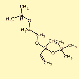 C=C[Si](C)(O[SiH2][SiH2]O[SiH](C)C)O[Si](C)(C)C